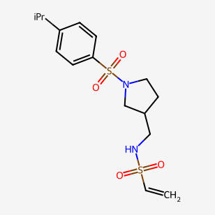 C=CS(=O)(=O)NCC1CCN(S(=O)(=O)c2ccc(C(C)C)cc2)C1